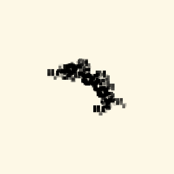 COC(=O)[C@@H](C)Oc1ccc(Cc2c(C)n(C)c3cc(C(=O)N[C@@H](C)c4ccc(C(C)(C)C)cc4)ccc23)cc1Cl